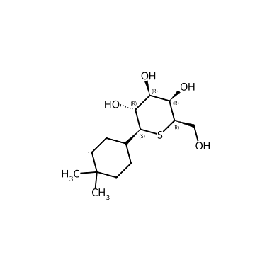 CC1(C)[CH]CC([C@@H]2S[C@H](CO)[C@H](O)[C@H](O)[C@H]2O)CC1